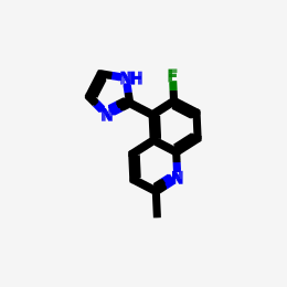 Cc1ccc2c(-c3ncc[nH]3)c(F)ccc2n1